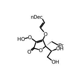 CCCCCCCCCCC=COC1=C(OO)C(=O)O[C@]1(CC(C)C)[C@@H](O)CO